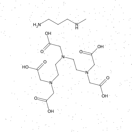 CNCCCN.O=C(O)CN(CCN(CC(=O)O)CC(=O)O)CCN(CC(=O)O)CC(=O)O